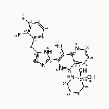 Oc1c(-c2nnc(Cc3cccc(F)c3F)[nH]2)nc(N2CCCCS2(O)O)c2cccnc12